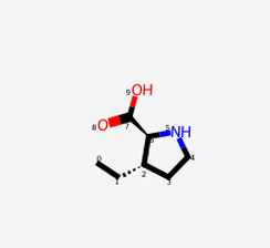 CC[C@H]1CCN[C@@H]1C(=O)O